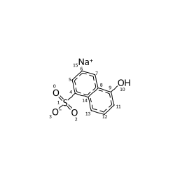 O=S(=O)([O-])c1cccc2c(O)cccc12.[Na+]